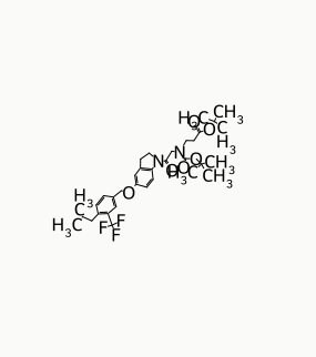 CC(C)Cc1ccc(COc2ccc3c(c2)CCN3C(=O)CN(CCC(=O)OC(C)(C)C)C(=O)OC(C)(C)C)cc1C(F)(F)F